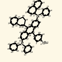 CC(C)(C)c1ccc(-c2c3ccc(N(c4ccccc4)c4cccc5ccccc45)cc3c(C3=Cc4ccccc4CC3)c3ccc(N(c4ccccc4)c4ccccc4)cc23)cc1